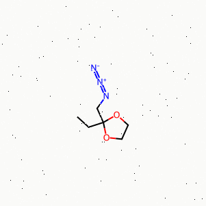 CCC1(CN=[N+]=[N-])OCCO1